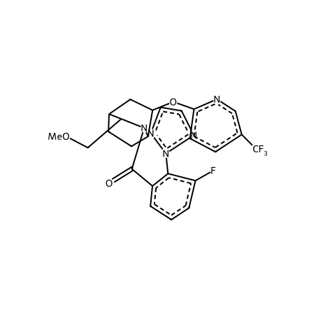 COCC1C2CCC(C(Oc3ccc(C(F)(F)F)cn3)C2)N1C(=O)c1cccc(F)c1-n1nccn1